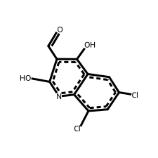 O=Cc1c(O)nc2c(Cl)cc(Cl)cc2c1O